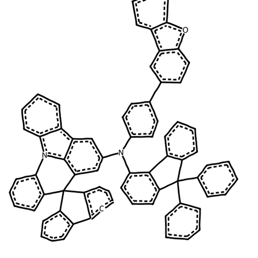 c1ccc(C2(c3ccccc3)c3ccccc3-c3c(N(c4ccc(-c5ccc6oc7ccccc7c6c5)cc4)c4cc5c6c(c4)c4ccccc4n6-c4ccccc4C54c5ccccc5-c5ccccc54)cccc32)cc1